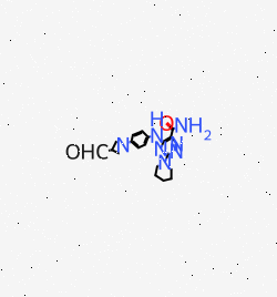 NC(=O)c1nnc(N2CCCCC2)nc1Nc1ccc(N2CC(C=O)C2)cc1